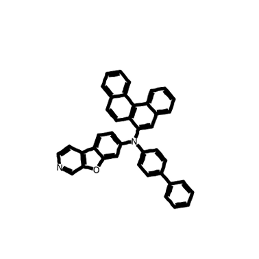 c1ccc(-c2ccc(N(c3ccc4c(c3)oc3cnccc34)c3cc4ccccc4c4c3ccc3ccccc34)cc2)cc1